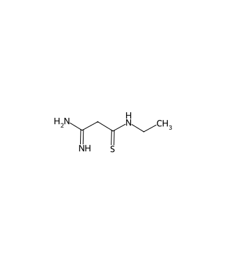 CCNC(=S)CC(=N)N